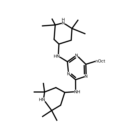 CCCCCCCCc1nc(NC2CC(C)(C)NC(C)(C)C2)nc(NC2CC(C)(C)NC(C)(C)C2)n1